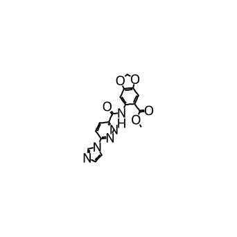 COC(=O)c1cc2c(cc1NC(=O)c1ccc(-n3ccnc3)nn1)OCO2